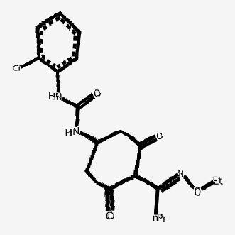 CCCC(=NOCC)C1C(=O)CC(NC(=O)Nc2ccccc2Cl)CC1=O